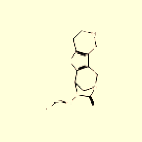 O=C1N2Cc3c(sc4c3CNCC4)C(C2)N1OSO